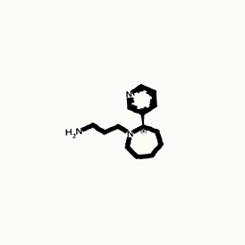 NCCCN1CCCCC[C@@H]1c1cccnc1